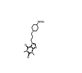 CC(=O)NC1CCN(CCCn2cnc3c2c(=O)n(C)c(=O)n3C)CC1